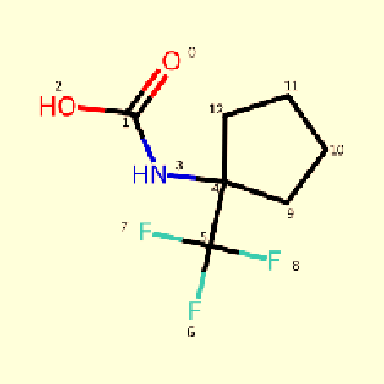 O=C(O)NC1(C(F)(F)F)CCCC1